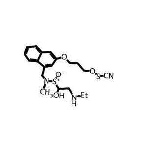 CCNCC(O)[S+]([O-])N(C)Cc1cc(OCCCOSC#N)cc2ccccc12